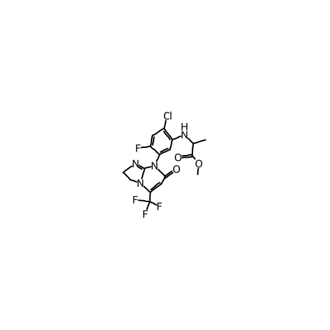 COC(=O)C(C)Nc1cc(N2C(=O)C=C(C(F)(F)F)N3CCN=C32)c(F)cc1Cl